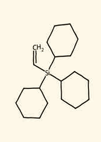 C=C[Si](C1CCCCC1)(C1CCCCC1)C1CCCCC1